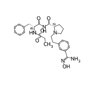 CCS(=O)(=O)N[C@H](Cc1ccccc1)C(=O)NC(=O)[C@@H]1CCCN1CCc1cccc(C(N)=NO)c1